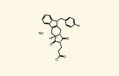 O=C([O-])CCN1C(=O)[C@@H]2Cc3c(n(Cc4ccc(F)cc4)c4ccccc34)CN2C1=O.[Na+]